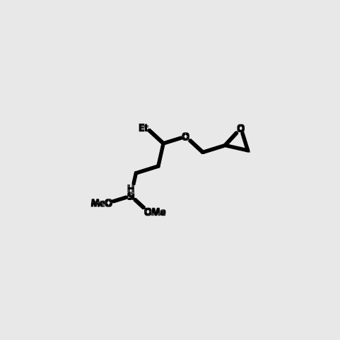 CCC(CC[SiH](OC)OC)OCC1CO1